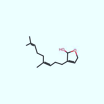 CC(C)=CCCC(C)=CCCC1=CCOC1O